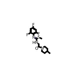 CS/C(=N\c1c(F)cc(F)cc1F)NCC(=O)N1CCC(C)CC1